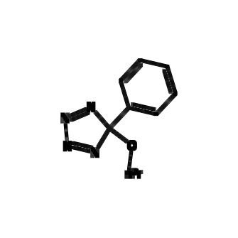 [CH2]CCOC1(c2ccccc2)N=NN=N1